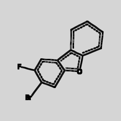 Fc1cc2c(cc1Br)oc1ccccc12